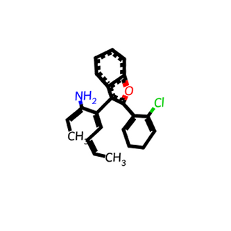 C\C=C/C=C(\C(N)=C/C)c1c(C2=CCCC=C2Cl)oc2ccccc12